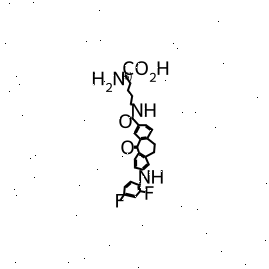 N[C@@H](CCCCNC(=O)c1ccc2c(c1)C(=O)c1ccc(Nc3ccc(F)cc3F)cc1CC2)C(=O)O